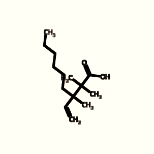 C=CC(C)(CCCCCC)C(C)(C)C(=O)O